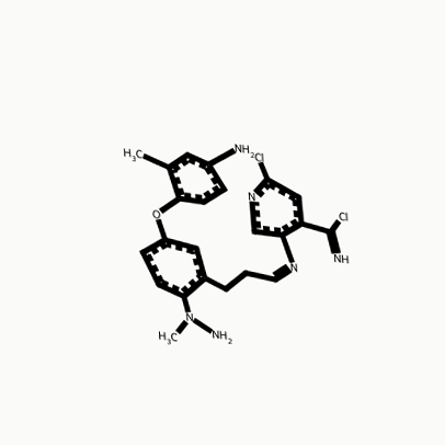 Cc1cc(N)ccc1Oc1ccc(N(C)N)c(CC/C=N\c2cnc(Cl)cc2C(=N)Cl)c1